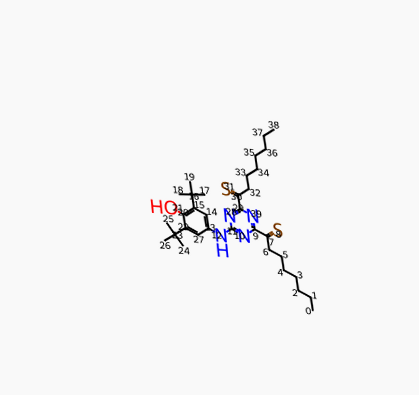 CCCCCCCC(=S)c1nc(Nc2cc(C(C)(C)C)c(O)c(C(C)(C)C)c2)nc(C(=S)CCCCCCC)n1